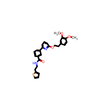 COc1ccc(CCOc2cccc(-c3cccc(C(=O)NCCc4cccs4)c3)n2)cc1OC